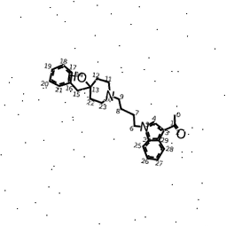 CC(=O)c1cn(CCCCN2CCC(O)(Cc3ccccc3)CC2)c2ccccc12